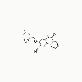 CC(C)C[C@H](N)COc1cc2c(cc1C#N)c1ccncc1c(=O)n2C